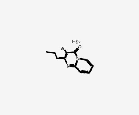 Br.CCCc1nc2ccccn2c(=O)c1Br